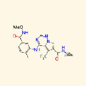 CC[C@H](C)NC(=O)c1cn2ncnc(Nc3cc(C(=O)NOC)ccc3C)c2c1C(F)(F)F